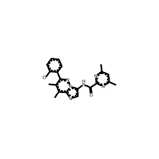 Cc1cc(C)nc(C(=O)Nc2cnc3c(C)c(C)c(-c4ccccc4Cl)nn23)n1